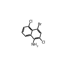 Nc1c(Cl)cc(Br)c2c(Cl)cccc12